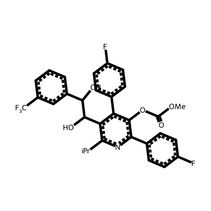 COC(=O)Oc1c(-c2ccc(F)cc2)nc(C(C)C)c(C(O)C(O)c2cccc(C(F)(F)F)c2)c1-c1ccc(F)cc1